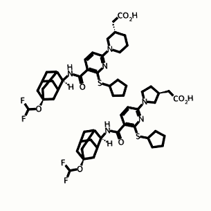 O=C(O)C[C@@H]1CCCN(c2ccc(C(=O)N[C@H]3C4CC5CC3C[C@@](OC(F)F)(C5)C4)c(SC3CCCC3)n2)C1.O=C(O)C[C@@H]1CCN(c2ccc(C(=O)N[C@H]3C4CC5CC3C[C@@](OC(F)F)(C5)C4)c(SC3CCCC3)n2)C1